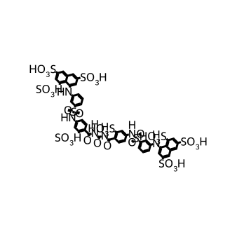 O=C(NC(=O)c1ccc(NS(=O)(=O)c2cccc(Nc3cc(S(=O)(=O)O)cc4cc(S(=O)(=O)O)cc(S(=O)(=O)O)c34)c2)cc1S(=O)(=O)O)NC(=O)c1ccc(NS(=O)(=O)c2cccc(Nc3cc(S(=O)(=O)O)cc4cc(S(=O)(=O)O)cc(S(=O)(=O)O)c34)c2)cc1S(=O)(=O)O